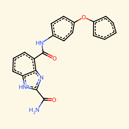 NC(=O)c1nc2c(C(=O)Nc3ccc(Oc4ccccc4)cc3)cccc2[nH]1